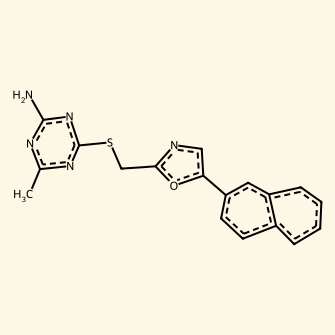 Cc1nc(N)nc(SCc2ncc(-c3ccc4ccccc4c3)o2)n1